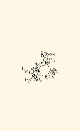 CC[C@H]1OC(=O)[C@H](C)[C@@H](O[C@H]2C[C@@](C)(OC)C(CO)[C@H](C)O2)[C@H](C)[C@@H](O[C@@H]2O[C@H](C)CC(N(C)C(N)=O)[C@H]2O)[C@](C)(O)C[C@@H](C)CN[C@H](C)[C@@H](O)[C@]1(C)O